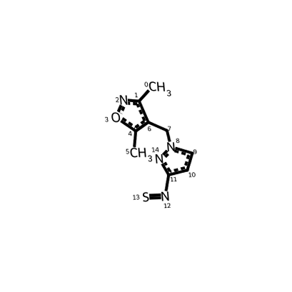 Cc1noc(C)c1Cn1ccc(N=S)n1